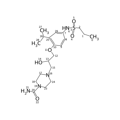 CCCS(=O)(=O)Nc1ccc(OCC(O)CN2CCN(C(N)=O)CC2)c(C(C)C)c1